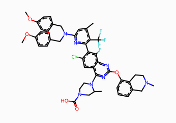 COc1ccc(CN(Cc2ccc(OC)cc2)c2cc(C)c(C(F)(F)F)c(-c3c(Cl)cc4c(N5CCN(C(=O)O)CC5C)nc(Oc5cccc6c5CCN(C)C6)nc4c3F)n2)cc1